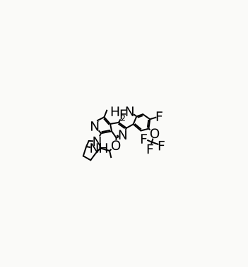 Cc1cnc2c3c(nc(-c4cc(OC(F)(F)F)c(F)cc4N)c(F)c13)OC(C)C1C3CCC(CN21)N3